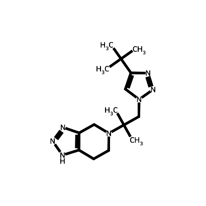 CC(C)(C)c1cn(CC(C)(C)N2CCc3[nH]nnc3C2)nn1